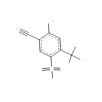 Cc1cc(C(C)(C)C)c(S(=O)(=O)O)cc1C#N